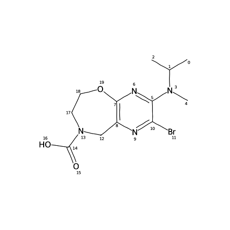 CC(C)N(C)c1nc2c(nc1Br)CN(C(=O)O)CCO2